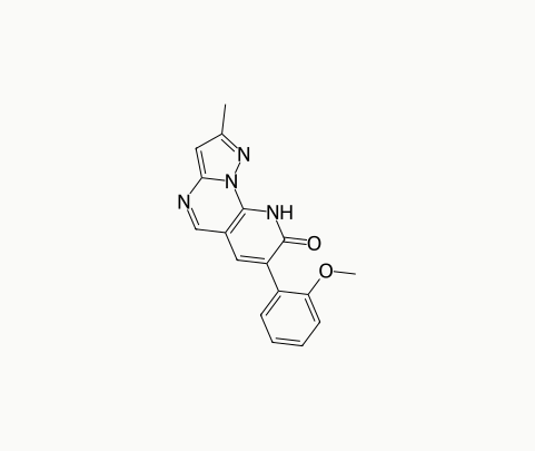 COc1ccccc1-c1cc2cnc3cc(C)nn3c2[nH]c1=O